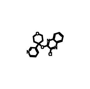 Clc1nc2ccccc2nc1OC1(c2cccnc2)CCOCC1